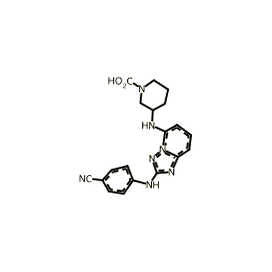 N#Cc1ccc(Nc2nc3cccc(NC4CCCN(C(=O)O)C4)n3n2)cc1